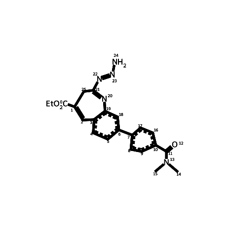 CCOC(=O)C1=Cc2ccc(-c3ccc(C(=O)N(C)C)cc3)cc2N=C(N=NN)C1